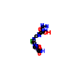 Cn1c(=O)n([C@H]2CCC(=O)NC2=O)c2cccc(N3CCC4(CCN(CC5CCC(n6cc7cc(NC(=O)c8cncc(C#N)c8)c(C(C)(C)O)cc7n6)CC5)CC4(F)F)CC3)c21